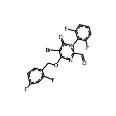 O=Cc1nc(OCc2ccc(F)cc2F)c(Br)c(=O)n1-c1c(F)cccc1F